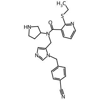 CCSc1ncccc1C(=O)N(Cc1cncn1Cc1ccc(C#N)cc1)C1CCNC1